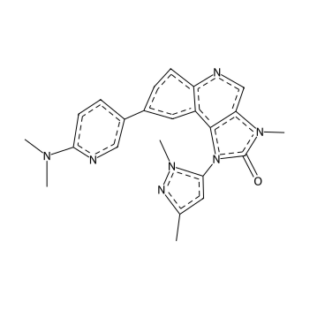 Cc1cc(-n2c(=O)n(C)c3cnc4ccc(-c5ccc(N(C)C)nc5)cc4c32)n(C)n1